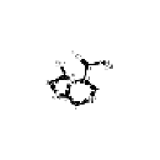 CCc1cnc2cncc(C(N)=O)n12